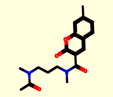 CC(=O)N(C)CCCN(C)C(=O)c1cc2ccc(C)cc2oc1=O